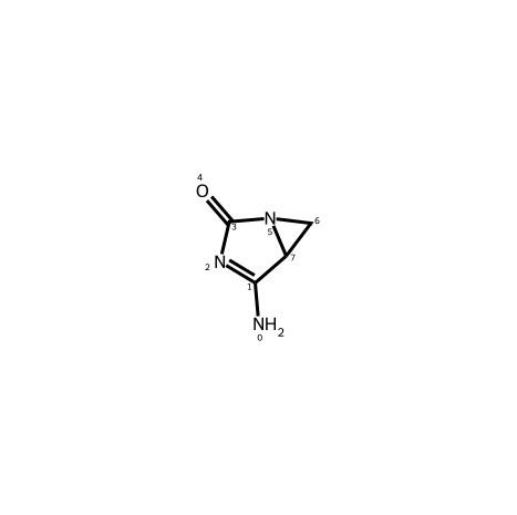 NC1=NC(=O)N2CC12